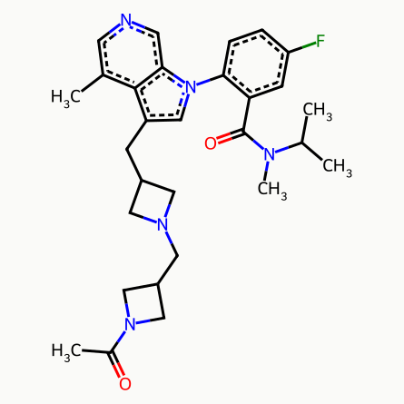 CC(=O)N1CC(CN2CC(Cc3cn(-c4ccc(F)cc4C(=O)N(C)C(C)C)c4cncc(C)c34)C2)C1